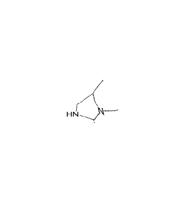 CC1CN[CH]N1C